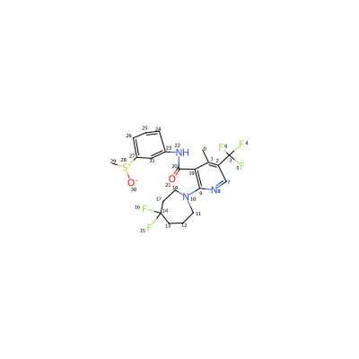 Cc1c(C(F)(F)F)cnc(N2CCCC(F)(F)CC2)c1C(=O)Nc1cccc([S+](C)[O-])c1